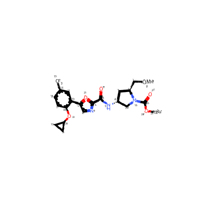 COC[C@@H]1C[C@@H](NC(=O)c2ncc(-c3cc(C(F)(F)F)ccc3OC3CC3)o2)CN1C(=O)OC(C)(C)C